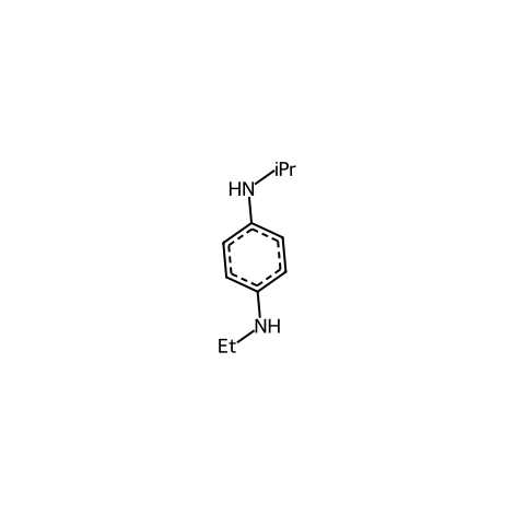 CCNc1ccc(NC(C)C)cc1